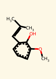 COc1cccc(C=C(C)C)c1O